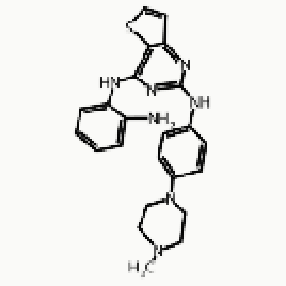 CN1CCN(c2ccc(Nc3nc(Nc4ccccc4N)c4sccc4n3)cc2)CC1